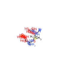 CC(C)(CCC(NC(=O)CCCCN=[N+]=[N-])C(=O)NC(CC(=O)O)C(=O)NC(CC(=O)O)C(=O)O)SSCCC(=O)NCC#Cc1cn(C2CC(O)C(COP(=O)(O)OP(=O)(O)OP(=O)(O)O)O2)c2ncnc(N)c12